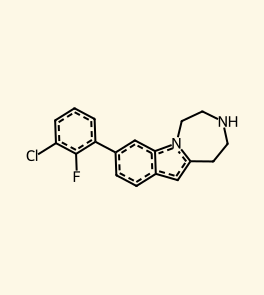 Fc1c(Cl)cccc1-c1ccc2cc3n(c2c1)CCNCC3